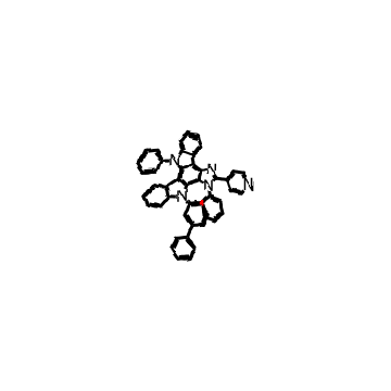 C1=CC2c3c(c4c(nc(-c5ccncc5)n4-c4ccccc4)c4c5ccccc5n(-c5ccccc5)c34)N(c3cccc(-c4ccccc4)c3)C2C=C1